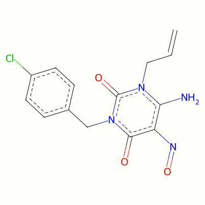 C=CCn1c(N)c(N=O)c(=O)n(Cc2ccc(Cl)cc2)c1=O